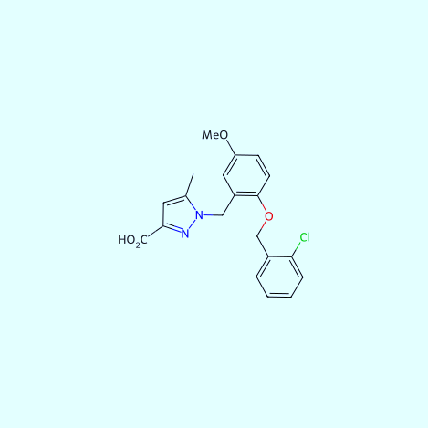 COc1ccc(OCc2ccccc2Cl)c(Cn2nc(C(=O)O)cc2C)c1